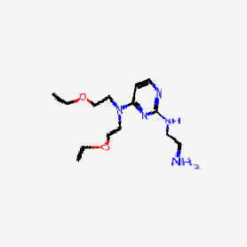 CCOCCN(CCOCC)c1ccnc(NCCN)n1